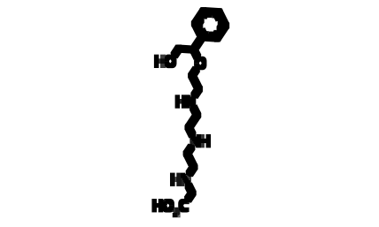 O=C(O)CNCCNCCNCCOC(CO)c1ccccc1